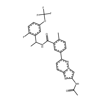 CC(=O)Nc1cn2nc(-c3ccc(C)c(C(=O)NC(C)c4cc(OC(F)(F)F)ccc4F)c3)ccc2n1